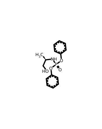 C[C@H](CO)NP(=O)(Oc1ccccc1)Oc1ccccc1